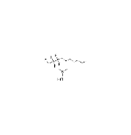 CCCCCCCC(F)(F)C(F)(F)CF.CN(C)C.Cl